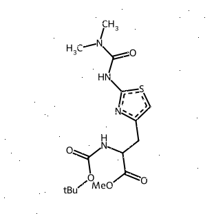 COC(=O)C(Cc1csc(NC(=O)N(C)C)n1)NC(=O)OC(C)(C)C